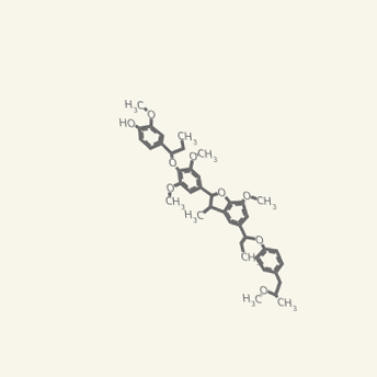 CCC(Oc1ccc(CC(C)OC)cc1)c1cc(OC)c2c(c1)C(C)C(c1cc(OC)c(OC(CC)c3ccc(O)c(OC)c3)c(OC)c1)O2